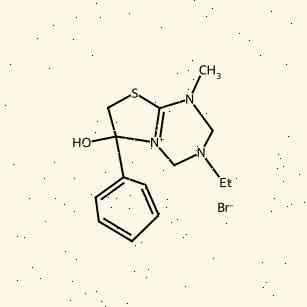 CCN1CN(C)C2=[N+](C1)C(O)(c1ccccc1)CS2.[Br-]